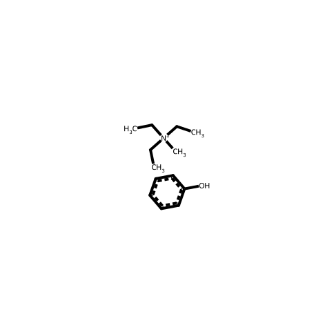 CC[N+](C)(CC)CC.Oc1ccccc1